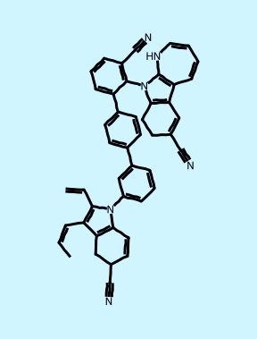 C=Cc1c(/C=C\C)c2c(n1-c1cccc(-c3ccc(-c4cccc(C#N)c4-n4c5c(c6c4NC=CC=C6)C=C(C#N)CC5)cc3)c1)C=CC(C#N)C2